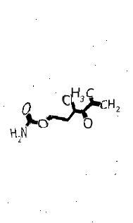 C=C(C)C(=O)C(Cl)CCOC(N)=O